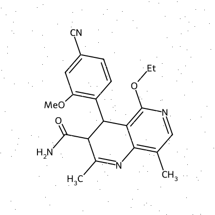 CCOc1ncc(C)c2c1C(c1ccc(C#N)cc1OC)C(C(N)=O)C(C)=N2